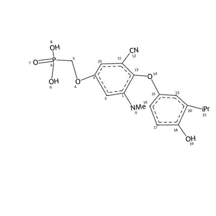 CNc1cc(OCP(=O)(O)O)cc(C#N)c1Oc1ccc(O)c(C(C)C)c1